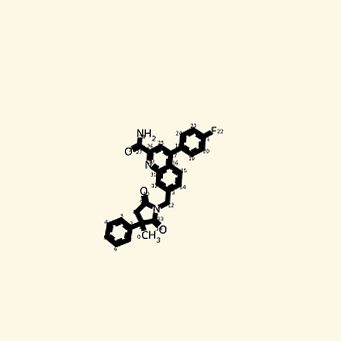 CC1(c2ccccc2)CC(=O)N(Cc2ccc3c(-c4ccc(F)cc4)cc(C(N)=O)nc3c2)C1=O